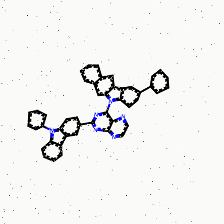 c1ccc(-c2ccc3c(c2)c2cc4ccccc4cc2n3-c2nc(-c3ccc4c(c3)c3ccccc3n4-c3ccccc3)nc3nccnc23)cc1